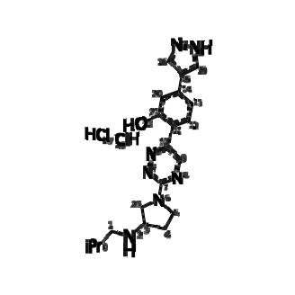 CC(C)CNC1CCN(c2ncc(-c3ccc(-c4cn[nH]c4)cc3O)nn2)C1.Cl.Cl